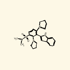 CN(C)S(=O)(=O)c1ccc(N2CCCC2)c(-c2cc3ccccc3[nH]2)c1N1CCCC1